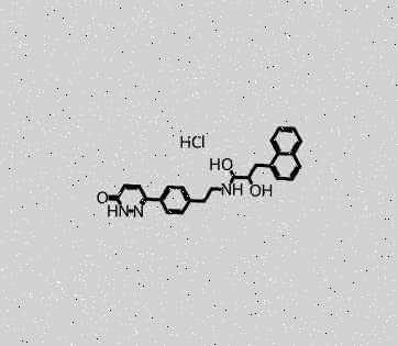 Cl.O=c1ccc(-c2ccc(CCNC(O)C(O)Cc3cccc4ccccc34)cc2)n[nH]1